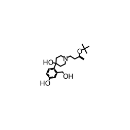 C=C(CCN1CCC(O)(c2ccc(O)cc2CO)CC1)OC(C)(C)C